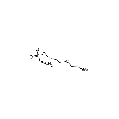 C=CP(=O)(CC)OOCCOCCOC